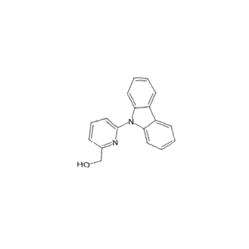 OCc1cccc(-n2c3ccccc3c3ccccc32)n1